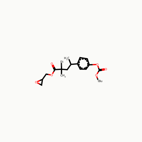 CCC(C)(CC(C)c1ccc(OC(=O)OC(C)(C)C)cc1)C(=O)OCC1CO1